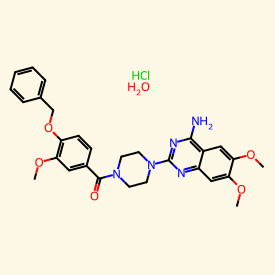 COc1cc2nc(N3CCN(C(=O)c4ccc(OCc5ccccc5)c(OC)c4)CC3)nc(N)c2cc1OC.Cl.O